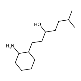 CC(C)CCC(O)CCC1CCCCC1N